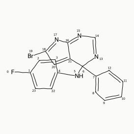 Fc1ccc(NC2(c3ccccc3)N=CN=C3N=C(Br)C=C32)cc1